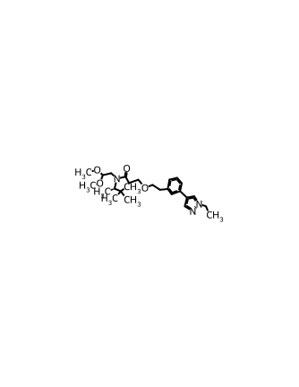 CCn1cc(-c2cccc(CCOCCC(=O)N(CC(OC)OC)[C@H](C)C(C)(C)C)c2)cn1